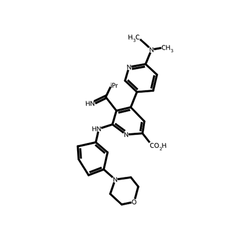 CC(C)C(=N)c1c(-c2ccc(N(C)C)nc2)cc(C(=O)O)nc1Nc1cccc(N2CCOCC2)c1